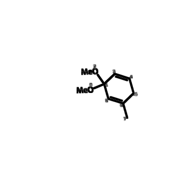 COC1(OC)C=C[CH]C(C)=C1